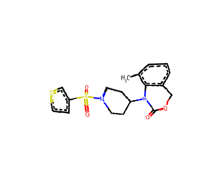 Cc1cccc2c1N(C1CCN(S(=O)(=O)c3ccsc3)CC1)C(=O)OC2